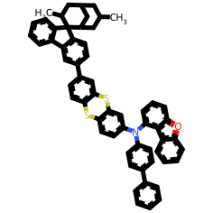 CC1CC2CC(C)C3(c4ccccc4-c4cc(-c5ccc6c(c5)Sc5cc(N(c7ccc(-c8ccccc8)cc7)c7cccc8oc9ccccc9c78)ccc5S6)ccc43)C(C1)C2